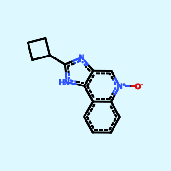 [O-][n+]1cc2nc(C3CCC3)[nH]c2c2ccccc21